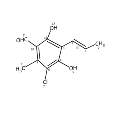 C/C=C/c1c(O)c(Cl)c(C)c(C=O)c1O